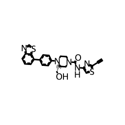 C#Cc1nc(NC(=O)N2CCN(c3ccc(-c4cccc5ncsc45)cc3)[C@@H](CO)C2)cs1